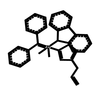 C=CCC1=CC[C]([Zr]([CH3])([CH3])(=[C](c2ccccc2)c2ccccc2)[CH]2c3ccccc3-c3ccccc32)=C1